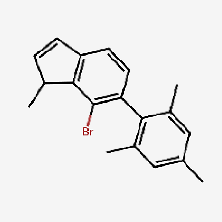 Cc1cc(C)c(-c2ccc3c(c2Br)C(C)C=C3)c(C)c1